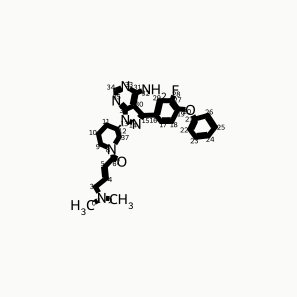 CN(C)CC=CC(=O)N1CCC[C@H](n2nc(-c3ccc(Oc4ccccc4)c(F)c3)c3c(N)ncnc32)C1